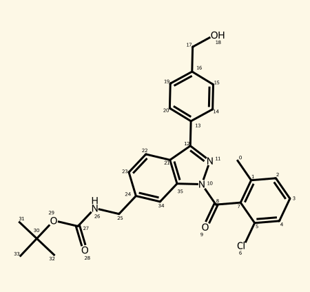 Cc1cccc(Cl)c1C(=O)n1nc(-c2ccc(CO)cc2)c2ccc(CNC(=O)OC(C)(C)C)cc21